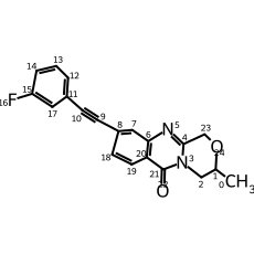 CC1Cn2c(nc3cc(C#Cc4cccc(F)c4)ccc3c2=O)CO1